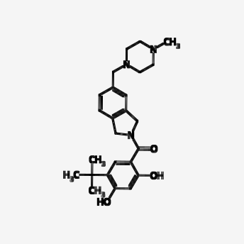 CN1CCN(Cc2ccc3c(c2)CN(C(=O)c2cc(C(C)(C)C)c(O)cc2O)C3)CC1